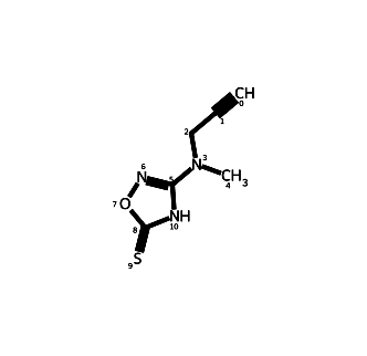 C#CCN(C)c1noc(=S)[nH]1